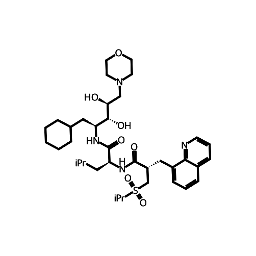 CC(C)C[C@H](NC(=O)[C@H](Cc1cccc2cccnc12)CS(=O)(=O)C(C)C)C(=O)N[C@@H](CC1CCCCC1)[C@@H](O)[C@@H](O)CN1CCOCC1